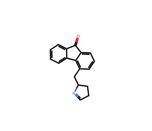 O=C1c2ccccc2-c2c(CC3CCC=N3)cccc21